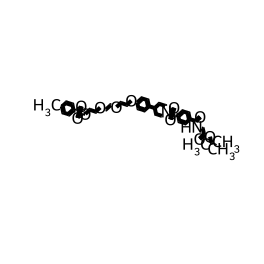 Cc1ccc(S(=O)(=O)OCCOCCOCCOc2ccc(C3CCN(S(=O)(=O)c4ccc(C(=O)NCC(=O)OC(C)(C)C)cc4)CC3)cc2)cc1